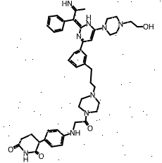 CC(=N)/C(=C1/N=C(c2cccc(CCCN3CCN(C(=O)CNc4ccc(C5CCC(=O)NC5=O)cc4)CC3)c2)C=C(N2CCN(CCO)CC2)N1)c1ccccc1